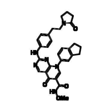 CONC(=O)c1cn(-c2ccc3c(c2)CCC3)c2nc(Nc3ccc(CCN4CCCC4=O)cc3)ncc2c1=O